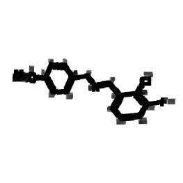 COc1ccc(C/N=C/c2cccc(F)c2Cl)cc1